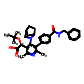 Cc1nc(C)c([C@H](OC(C)(C)C)C(=O)O)c(N2CC3CCC2C3)c1-c1ccc(C(=O)NCc2ccccc2)cc1